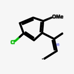 [CH2]/C=C(/C)c1cc(Cl)ccc1OC